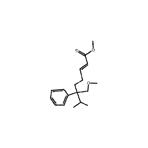 COCC(CC/C=C/C(=O)OC)(c1ccccc1)C(C)C